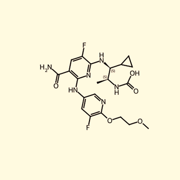 COCCOc1ncc(Nc2nc(N[C@@H](C3CC3)[C@H](C)NC(=O)O)c(F)cc2C(N)=O)cc1F